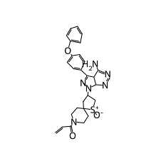 C=CC(=O)N1CCC2(CC1)CC(N1N=C(c3ccc(Oc4ccccc4)cc3)C3C(N)=NC=NC31)C[S+]2[O-]